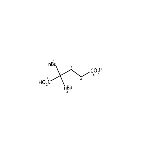 CCCCC(CCCC)(CCC(=O)O)C(=O)O